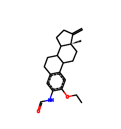 C=C1CCC2C3CCc4cc(NC=O)c(OCC)cc4C3CC[C@]12C